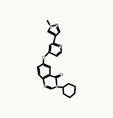 Cn1cc(-c2cc(Oc3ccc4ncn(C5CCCCC5)c(=O)c4c3)ccn2)cn1